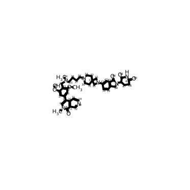 COc1cc(-c2cn(C)c(=O)c3cnccc23)cc(OC)c1CN(C)CCCCN1CCC2(CC1)CN(c1ccc3c(c1)C(=O)N(C1CCC(=O)NC1=O)C3)C2